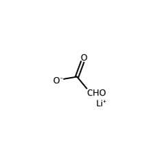 O=CC(=O)[O-].[Li+]